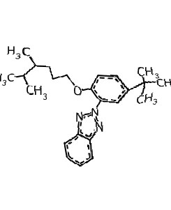 CC(C)C(C)CCCOc1ccc(C(C)(C)C)cc1-n1nc2ccccc2n1